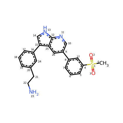 CS(=O)(=O)c1cccc(-c2cnc3[nH]cc(-c4cccc(CCN)c4)c3c2)c1